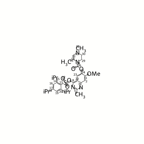 COc1cc2nc(C)nc(OS(=O)(=O)c3c(C(C)C)cc(C(C)C)cc3C(C)C)c2cc1OC(=O)N1CCN(C)C[C@H]1C